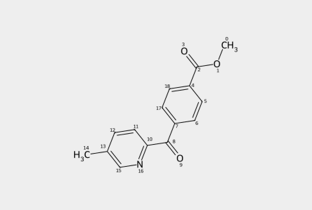 COC(=O)c1ccc(C(=O)c2ccc(C)cn2)cc1